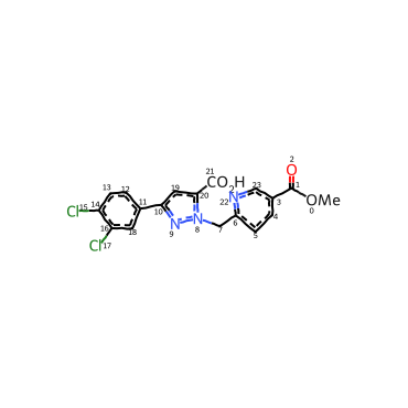 COC(=O)c1ccc(Cn2nc(-c3ccc(Cl)c(Cl)c3)cc2C(=O)O)nc1